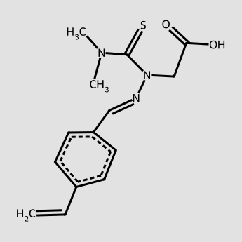 C=Cc1ccc(C=NN(CC(=O)O)C(=S)N(C)C)cc1